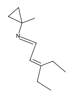 CCC(=C/C=N/C1(C)CC1)CC